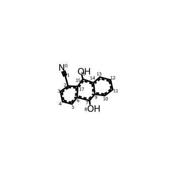 N#Cc1cccc2c(O)c3ccccc3c(O)c12